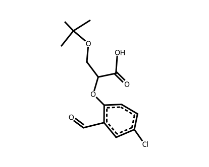 CC(C)(C)OCC(Oc1ccc(Cl)cc1C=O)C(=O)O